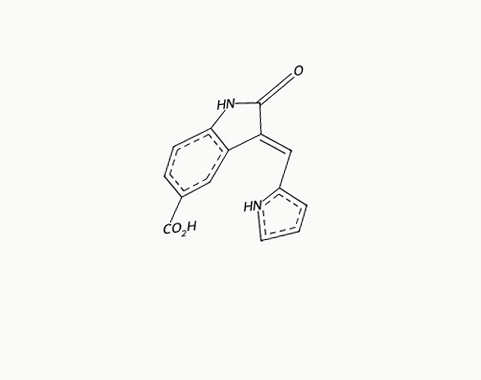 O=C1Nc2ccc(C(=O)O)cc2C1=Cc1ccc[nH]1